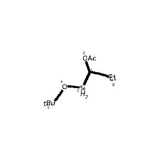 CCC(OC(C)=O)[SiH2]OC(C)(C)C